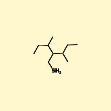 CCC(C)C(C[SiH3])C(C)CC